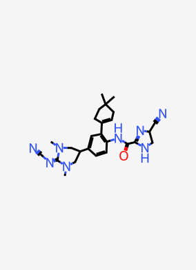 CN1CC(c2ccc(NC(=O)C3=NC(C#N)CN3)c(C3=CCC(C)(C)CC3)c2)CN(C)C1=NC#N